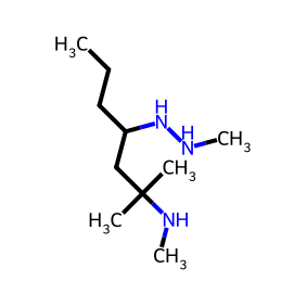 CCCC(CC(C)(C)NC)NNC